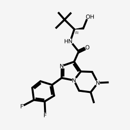 CC1Cn2c(-c3ccc(F)c(F)c3)nc(C(=O)N[C@H](CO)C(C)(C)C)c2CN1C